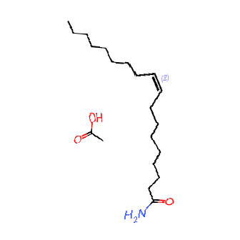 CC(=O)O.CCCCCCCC/C=C\CCCCCCCC(N)=O